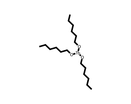 CCCCCC[O][Tb]([O]CCCCCC)[O]CCCCCC